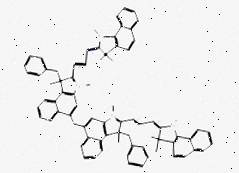 CN1/C(=C/C=C/C2=[N+](C)c3cc(Cc4cc5c(c6ccccc46)C(C)(Cc4ccccc4)C(/C=C/C=C4/N(C)c6c(ccc7ccccc67)C4(C)C)=[N+]5C)c4ccccc4c3C2(C)Cc2ccccc2)C(C)(C)c2ccc3ccccc3c21